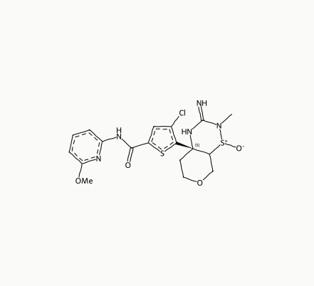 COc1cccc(NC(=O)c2cc(Cl)c([C@]34CCOCC3[S+]([O-])N(C)C(=N)N4)s2)n1